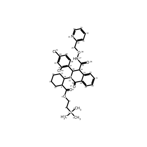 CS(C)(C)CCOC(=O)C1CCCCC1N1C(=O)c2ccccc2C(C(=O)NOCc2ccccn2)C1c1ccc(Cl)cc1Cl